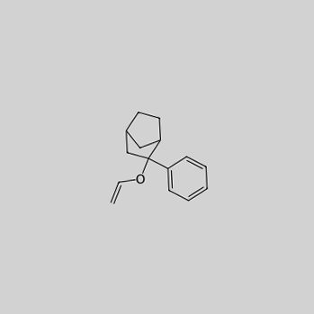 C=COC1(c2ccccc2)CC2CCC1C2